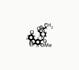 C=CC(=O)N1CCN(C(=O)c2cc(-c3cc(Cl)ccc3Cl)c(Cl)cc2OC)CC1CO